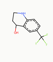 OC1CCNc2ccc(C(F)(F)F)cc21